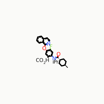 CC(C)N(c1cc(F)c(Oc2nccc3ccccc23)cc1C(=O)O)C(=O)[C@H]1CC[C@H](C)CC1